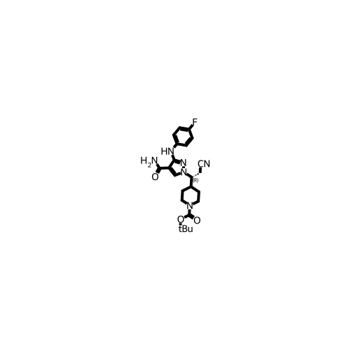 CC(C)(C)OC(=O)N1CCC([C@@H](CC#N)n2cc(C(N)=O)c(Nc3ccc(F)cc3)n2)CC1